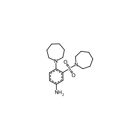 Nc1ccc(N2CCCCCC2)c(S(=O)(=O)N2CCCCCC2)c1